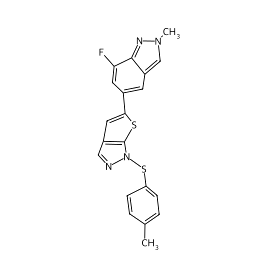 Cc1ccc(Sn2ncc3cc(-c4cc(F)c5nn(C)cc5c4)sc32)cc1